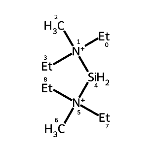 CC[N+](C)(CC)[SiH2][N+](C)(CC)CC